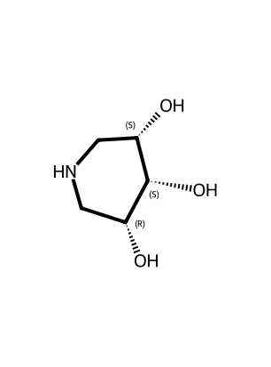 O[C@@H]1[C@H](O)CNC[C@@H]1O